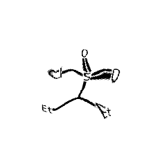 CCC(CC)S(=O)(=O)Cl